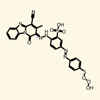 CC1=C(C#N)c2nc3ccccc3n2C(=O)/C1=N/Nc1ccc(N=Nc2ccc(SOOO)cc2)cc1S(=O)(=O)O